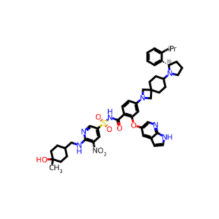 CC(C)c1ccccc1[C@@H]1CCCN1C1CCC2(CC1)CN(c1ccc(C(=O)NS(=O)(=O)c3cnc(NCC4CCC(C)(O)CC4)c([N+](=O)[O-])c3)c(Oc3cnc4[nH]ccc4c3)c1)C2